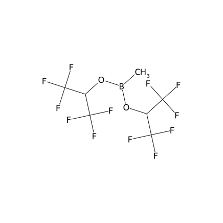 CB(OC(C(F)(F)F)C(F)(F)F)OC(C(F)(F)F)C(F)(F)F